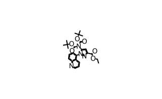 CCOC(=O)c1cc(N(C(=O)OC(C)(C)C)C(=O)OC(C)(C)C)n(-c2cccc3ncccc23)n1